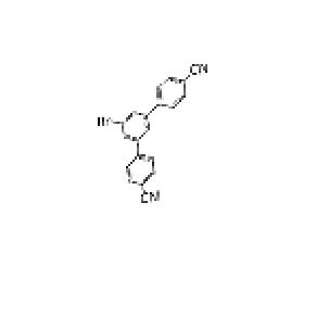 N#Cc1ccc(-c2cc(Br)cc(-c3ccc(C#N)cc3)c2)cc1